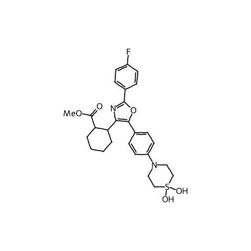 COC(=O)C1CCCCC1c1nc(-c2ccc(F)cc2)oc1-c1ccc(N2CCS(O)(O)CC2)cc1